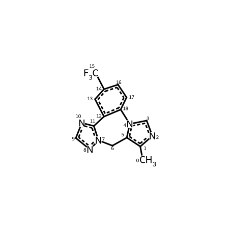 Cc1ncn2c1Cn1ncnc1-c1cc(C(F)(F)F)ccc1-2